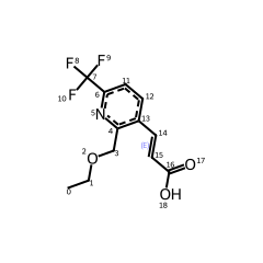 CCOCc1nc(C(F)(F)F)ccc1/C=C/C(=O)O